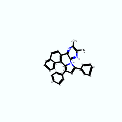 N#Cc1nc2c3ccc4ccccc4c3c3c(-c4ccccc4)cc(-c4ccccc4)n3c2nc1C#N